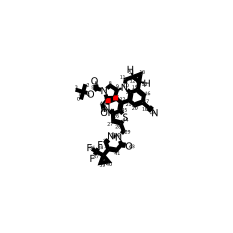 CC(C)(C)OC(=O)N1C[C@@H](N2C[C@@H]3C[C@@H]3c3cc(C#N)cc(-c4ccnc5cc(Cn6ncc(C7(C(F)(F)F)CC7)cc6=O)sc45)c32)C[C@H]1CO